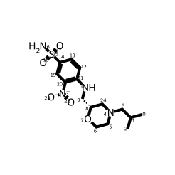 C[C](C)CN1CCO[C@H](CNc2ccc(S(N)(=O)=O)cc2[N+](=O)[O-])C1